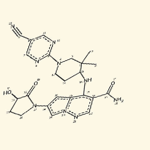 CC1(C)CN(c2ncc(C#N)cn2)CCC1Nc1c(C(N)=O)cnn2cc(N3CCC(O)C3=O)cc12